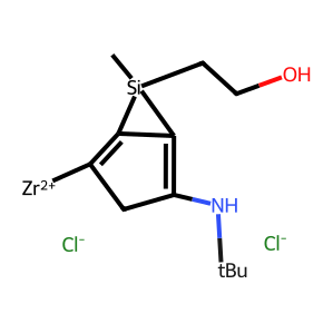 CC(C)(C)NC1=C2C(=[C]([Zr+2])C1)[Si]2(C)CCO.[Cl-].[Cl-]